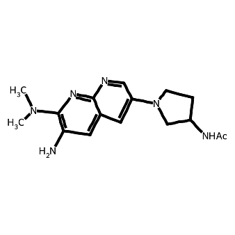 CC(=O)NC1CCN(c2cnc3nc(N(C)C)c(N)cc3c2)C1